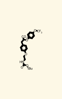 CCOC(=O)C(Cc1ccc(OCCNC(=O)OC(C)(C)C)cc1)Oc1ccc(OC(F)(F)F)cc1